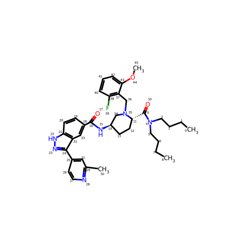 CCCCN(CCCC)C(=O)[C@@H]1CC[C@@H](NC(=O)c2ccc3[nH]nc(-c4ccnc(C)c4)c3c2)CN1Cc1c(F)cccc1OC